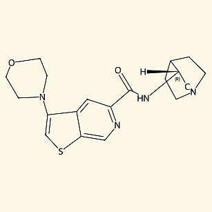 O=C(N[C@H]1CN2CCC1CC2)c1cc2c(N3CCOCC3)csc2cn1